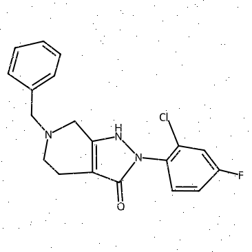 O=c1c2c([nH]n1-c1ccc(F)cc1Cl)CN(Cc1ccccc1)CC2